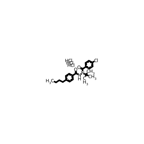 CCCCc1ccc(C(=O)NN(C(=O)c2ccc(Cl)cc2)C(C)(C)C)cc1.Cl.Cl.Cl